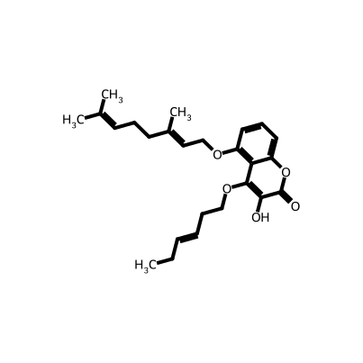 CCC=CCCOc1c(O)c(=O)oc2cccc(OC/C=C(\C)CCC=C(C)C)c12